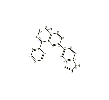 CC/N=C(/c1ccccc1)c1cc(-c2ccc3[nH]ncc3c2)ccc1NC